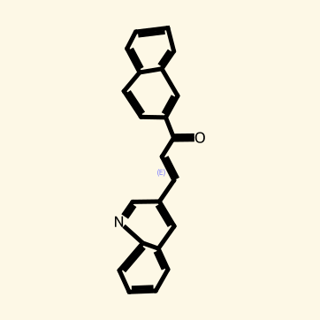 O=C(/C=C/c1cnc2ccccc2c1)c1ccc2ccccc2c1